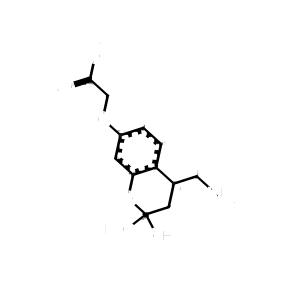 CC1(C)CC(CN)c2ccc(OCC(=O)O)cc2O1